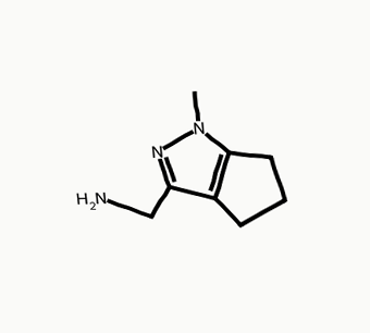 Cn1nc(CN)c2c1CCC2